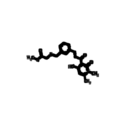 COC(=O)CSCc1cccc(C=CC(=O)c2c(O)cc(C)n(C)c2=O)c1